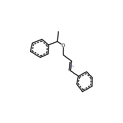 CC(OC/C=C/c1ccccc1)c1ccccc1